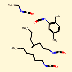 CC(CCCN=C=O)CCC(=O)O.CCCCCCCCCCCN=C=O.CCOC(=O)CCCCCN=C=O.COc1ccc([N+](=O)[O-])cc1N=C=O